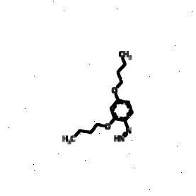 CCCCOc1ccc(N=N)c(OCCCC)c1